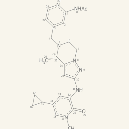 CC(=O)Nc1cc(CN2CCn3nc(Nc4cc(C5CC5)cn(C)c4=O)cc3[C@@H]2C)ccn1